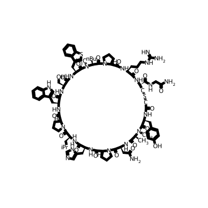 CCCC[C@H]1C(=O)N2CCC[C@@H]2C(=O)N[C@@H](CCCNC(=N)N)C(=O)N[C@H](C(=O)NCC(N)=O)CSCC(=O)N[C@@H](Cc2ccc(O)cc2)C(=O)N(C)[C@@H](C)C(=O)N[C@@H](CC(N)=O)C(=O)N2CCC[C@H]2C(=O)N[C@@H](Cc2cnc[nH]2)C(=O)N[C@@H](CC(C)C)C(=O)N2CCC[C@H]2C(=O)N[C@@H](Cc2c[nH]c3ccccc23)C(=O)N[C@@H](CO)C(=O)N[C@@H](Cc2csc3ccccc23)C(=O)N1C